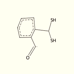 O=[C]c1ccccc1C(S)S